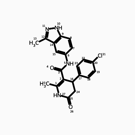 CC1=C(C(=O)Nc2ccc3[nH]nc(C)c3c2)C(c2ccc(Cl)cc2)CC(=O)N1